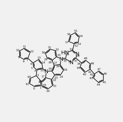 C1=CCC(c2cc(-c3ccccc3)ccc2-n2c3ccccc3c3ccc4c(c5ccccc5n4C4N=C(c5ccc(-c6ccccc6)cc5)N=C(c5ccccc5)N4)c32)C=C1